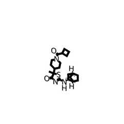 CC1(C2CCN(C(=O)C3CCC3)CC2)SC(N[C@H]2C[C@H]3CC[C@H]2C3)=NC1=O